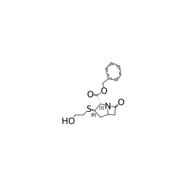 O=C(OCc1ccccc1)[C@H]1[C@H](SCCO)CC2CC(=O)N21